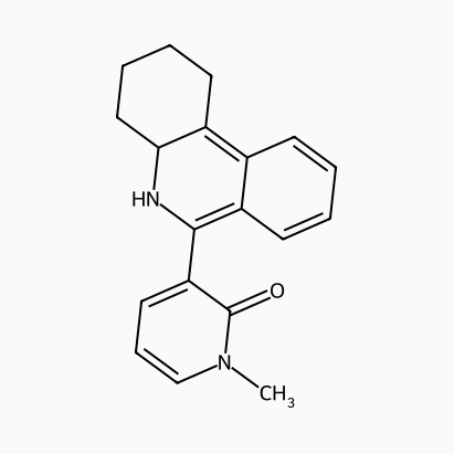 Cn1cccc(C2=c3ccccc3=C3CCCCC3N2)c1=O